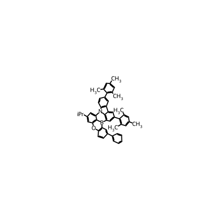 Cc1cc(C)c(-c2ccc3c(c2)c2cc(-c4c(C)cc(C)cc4C)cc4c2n3-c2cc(C(C)C)cc3c2B4c2cc(-c4ccccc4)ccc2O3)c(C)c1